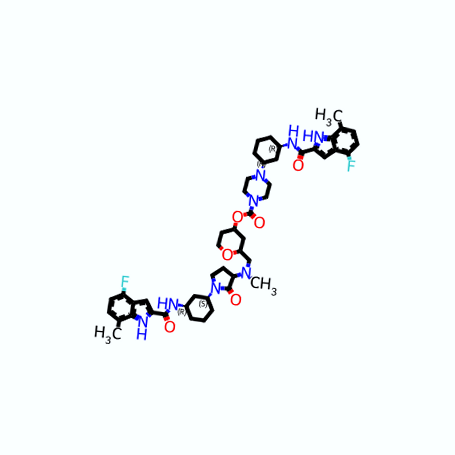 Cc1ccc(F)c2cc(C(=O)N[C@@H]3CCC[C@@H](N4CCN(C(=O)OC5CCOC(CN(C)C6CCN([C@H]7CCC[C@@H](NC(=O)c8cc9c(F)ccc(C)c9[nH]8)C7)C6=O)C5)CC4)C3)[nH]c12